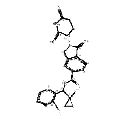 O=C1CC[C@H](N2Cc3cc(C(=O)N[C@H](c4ncccc4Cl)C4(F)CC4)ccc3C2=O)C(=O)N1